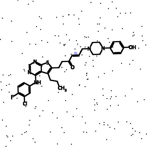 CCCc1c(CCC(=O)/C=C/CN2CCN(c3ccc(O)cc3)CC2)sc2ncnc(Nc3ccc(F)c(Cl)c3)c12